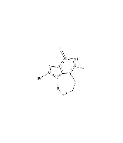 Cc1[nH]c(=O)c2sc(Br)c3c2c1CCCO3